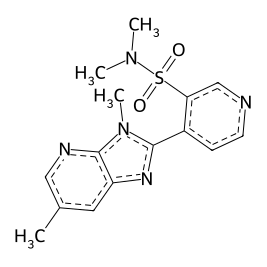 Cc1cnc2c(c1)nc(-c1ccncc1S(=O)(=O)N(C)C)n2C